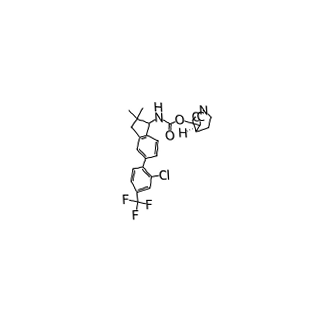 CC1(C)Cc2cc(-c3ccc(C(F)(F)F)cc3Cl)ccc2C1NC(=O)O[C@H]1CN2CCC1CC2